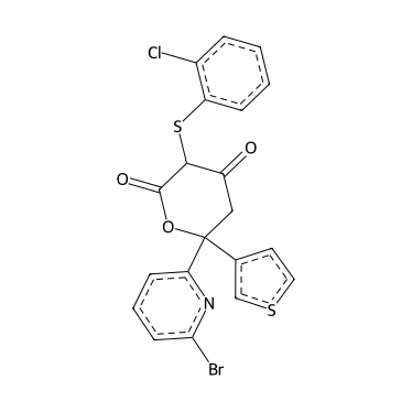 O=C1CC(c2ccsc2)(c2cccc(Br)n2)OC(=O)C1Sc1ccccc1Cl